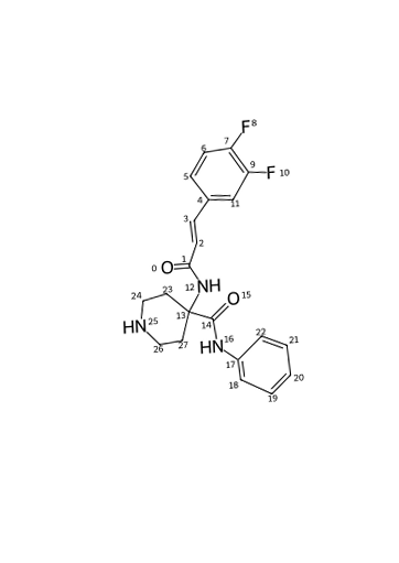 O=C(C=Cc1ccc(F)c(F)c1)NC1(C(=O)Nc2ccccc2)CCNCC1